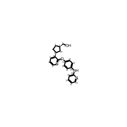 OC[C@@H]1CC[C@H](c2cccnc2Oc2ccc(Nc3ccccn3)cc2)C1